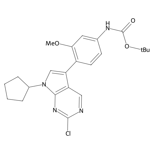 COc1cc(NC(=O)OC(C)(C)C)ccc1-c1cn(C2CCCC2)c2nc(Cl)ncc12